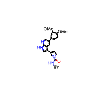 COc1ccc(-c2cnc3[nH]cc(C4=CCN(C(=O)NC(C)C)C4)c3c2)cc1OC